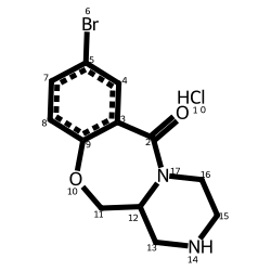 Cl.O=C1c2cc(Br)ccc2OCC2CNCCN12